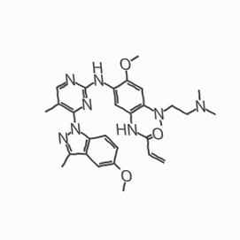 C=CC(=O)Nc1cc(Nc2ncc(C)c(-n3nc(C)c4cc(OC)ccc43)n2)c(OC)cc1N(C)CCN(C)C